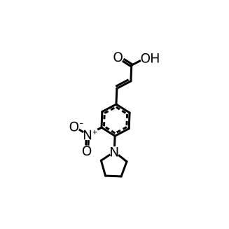 O=C(O)C=Cc1ccc(N2CCCC2)c([N+](=O)[O-])c1